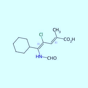 C/C(=C\C(Cl)=C(/NC=O)C1CCCCC1)C(=O)O